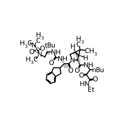 CCCCC(NC(=O)[C@@H]1[C@@H]2[C@H](CN1C(=O)[C@@H](NC(=O)N[C@H](CN(C)S(=O)(=O)N(C)C)C(C)(C)C)C1Cc3ccccc3C1)C2(C)C)C(=O)C(=O)NCC